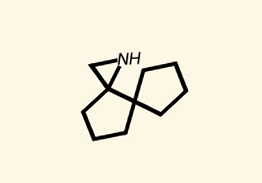 C1CCC2(C1)CCCC21CN1